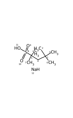 CC(C)(C)CC(C)(C)S(=O)(=O)O.[NaH]